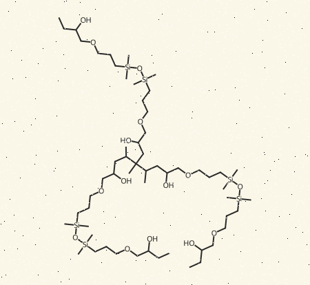 CCC(O)COCCC[Si](C)(C)O[Si](C)(C)CCCOCC(O)CC(C)C(C)(CC(O)COCCC[Si](C)(C)O[Si](C)(C)CCCOCC(O)CC)C(C)CC(O)COCCC[Si](C)(C)O[Si](C)(C)CCCOCC(O)CC